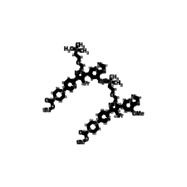 COc1cc(-c2c(C(C)C)c(-c3ccc(N4CCN(C(=O)OC(C)(C)C)CC4)cn3)nn2COCC[Si](C)(C)C)cn2ncnc12.COc1cc(-c2c(C(C)C)c(-c3ccc(N4CCN(C(=O)OC(C)(C)C)CC4)cn3)nn2COCC[Si](C)(C)C)cn2ncnc12